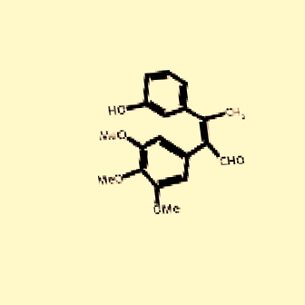 COc1cc(C(C=O)=C(C)c2cccc(O)c2)cc(OC)c1OC